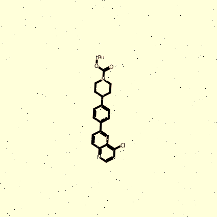 CC(C)(C)OC(=O)N1CCC(c2ccc(-c3ccc4nccc(Cl)c4c3)cc2)CC1